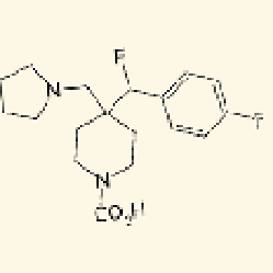 O=C(O)N1CCC(CN2CCCC2)(C(F)c2ccc(F)cc2)CC1